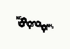 Cc1cc(N2CCN(CC3CN(c4ccc(C#N)c5ncccc45)CC(C)O3)CC2)cc(N)n1